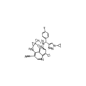 CC1(C)CC1Nc1c(C#N)cnc2c(Cl)cc(NC(c3ccc(F)cc3)c3cn(C4CC4)nn3)cc12